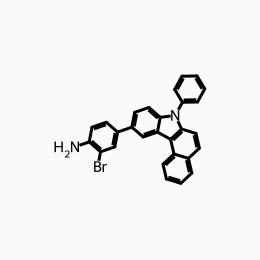 Nc1ccc(-c2ccc3c(c2)c2c4ccccc4ccc2n3-c2ccccc2)cc1Br